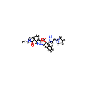 CCCN(CCC)C(=O)c1cccc(C(=O)N[C@@H](Cc2ccccc2)[C@H](O)CNCCN2CCCC2)c1